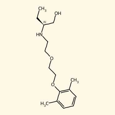 CC[C@@H](CO)NCCOCCOc1c(C)cccc1C